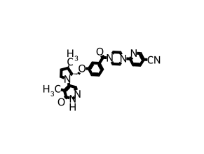 Cc1c(N2CC[C@H](C)[C@@H]2COc2cccc(C(=O)N3CCN(c4ccc(C#N)cn4)CC3)c2)cn[nH]c1=O